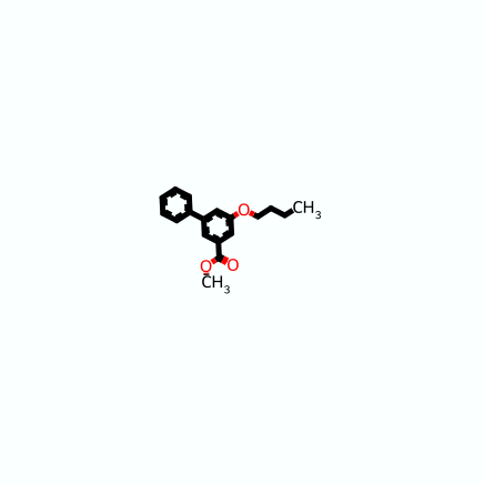 CCCCOc1cc(C(=O)OC)cc(-c2ccccc2)c1